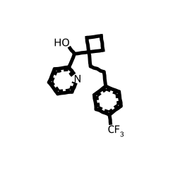 OC(c1ccccn1)C1(CCc2ccc(C(F)(F)F)cc2)CCC1